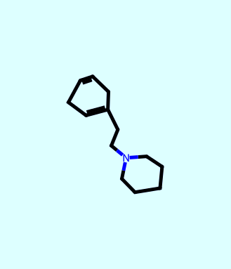 C1=CCC(CCN2CCCCC2)=CC1